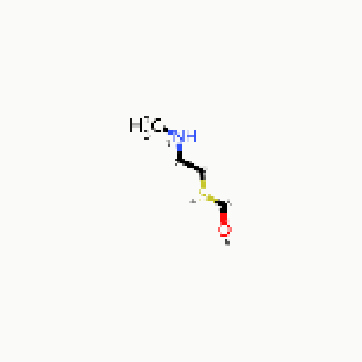 CNCCSC=O